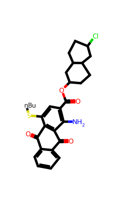 CCCCSc1cc(C(=O)OC2CCC3CC(Cl)CCC3C2)c(N)c2c1C(=O)c1ccccc1C2=O